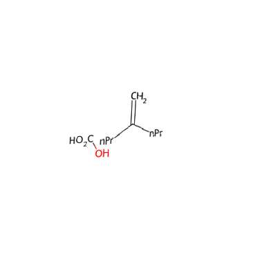 C=C(CCC)CCC.O=C(O)O